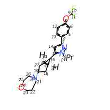 CC(C)n1nc(-c2ccc(OC(F)F)cc2)cc1C1[C@H]2CC(N3CCCOCC3)C[C@@H]12